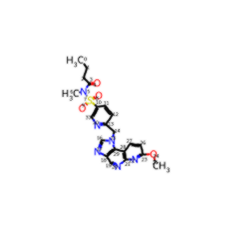 CCCC(=O)N(C)S(=O)(=O)c1ccc(Cn2cnc3cnc4nc(OC)ccc4c32)nc1